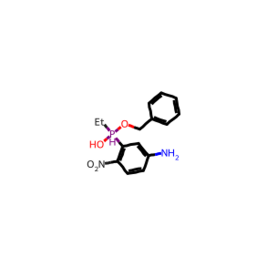 CC[PH](O)(OCc1ccccc1)c1cc(N)ccc1[N+](=O)[O-]